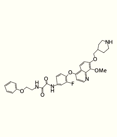 COc1c(OCC2CCNCC2)ccc2c(Oc3ccc(NC(=O)C(=O)NCCOc4ccccc4)cc3F)ccnc12